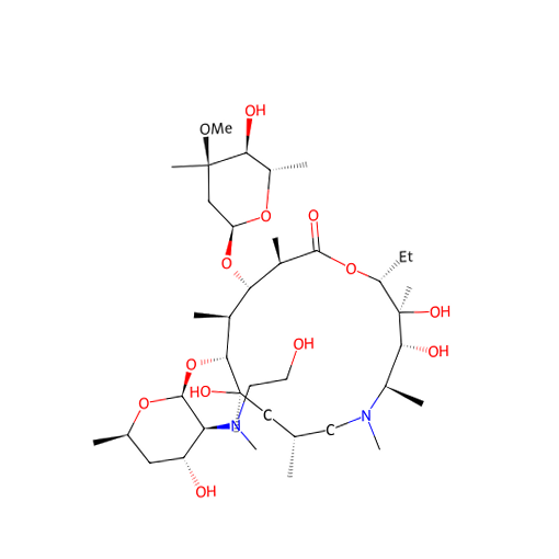 CC[C@H]1OC(=O)[C@H](C)[C@@H](O[C@H]2C[C@@](C)(OC)[C@@H](O)[C@H](C)O2)[C@H](C)[C@@H](O[C@@H]2O[C@H](C)C[C@@H](O)[C@@H]2N(C)CCO)[C@](C)(O)C[C@@H](C)CN(C)[C@H](C)[C@@H](O)[C@]1(C)O